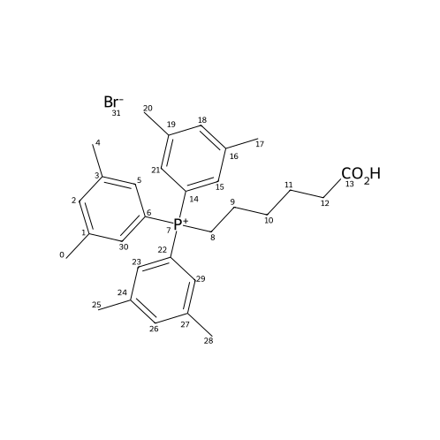 Cc1cc(C)cc([P+](CCCCCC(=O)O)(c2cc(C)cc(C)c2)c2cc(C)cc(C)c2)c1.[Br-]